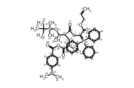 C=CCOC(=O)C(N1C(=O)[C@H]([C@@H](C)O[Si](C)(C)C(C)(C)C)[C@H]1[C@@H](C)C(=O)OC(=O)c1ccc(N(C)C)cc1)=P(c1ccccc1)(c1ccccc1)c1ccccc1